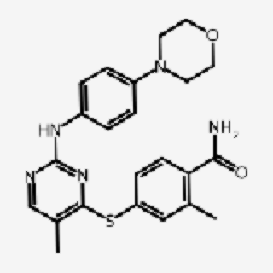 Cc1cc(Sc2nc(Nc3ccc(N4CCOCC4)cc3)ncc2C)ccc1C(N)=O